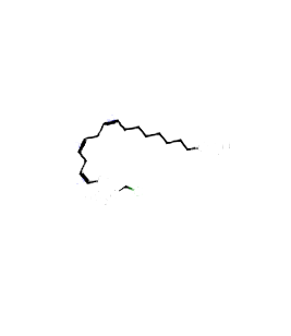 CC/C=C\C/C=C\C/C=C\CCCCCCCC(=O)O.O=C(O)CCl